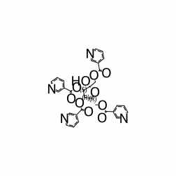 O=C(OC[C@H]1OC(O)(COC(=O)c2cccnc2)[C@@H](OC(=O)c2cccnc2)[C@@H]1OC(=O)c1cccnc1)c1cccnc1